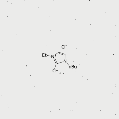 CCCCn1cc[n+](CC)c1C.[Cl-]